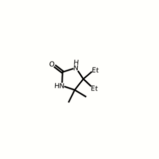 CCC1(CC)NC(=O)NC1(C)C